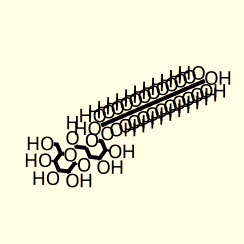 OCC1O[C@@H](OC(O)(O)C(O)(O)C(O)(O)C(O)(O)C(O)(O)C(O)(O)C(O)(O)C(O)(O)C(O)(O)C(O)(O)C(O)(O)C(O)(O)O)[C@@H](O)C(O)[C@@H]1O[C@H]1OC(CO)[C@@H](O)[C@H](O)C1O